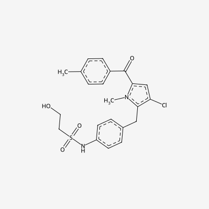 Cc1ccc(C(=O)c2cc(Cl)c(Cc3ccc(NS(=O)(=O)CCO)cc3)n2C)cc1